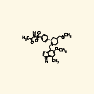 COCC1CCN(Cc2c(OC)cc(C)c3[nH]ccc23)[C@H](c2ccc(S(=O)(=O)NC(C)=O)cc2)C1